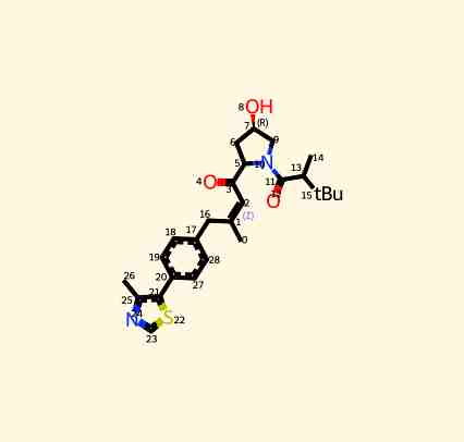 C/C(=C/C(=O)C1C[C@@H](O)CN1C(=O)C(C)C(C)(C)C)Cc1ccc(-c2scnc2C)cc1